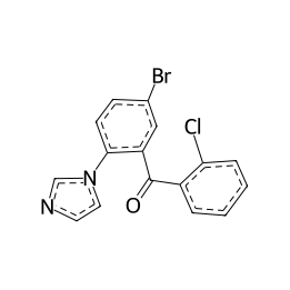 O=C(c1ccccc1Cl)c1cc(Br)ccc1-n1ccnc1